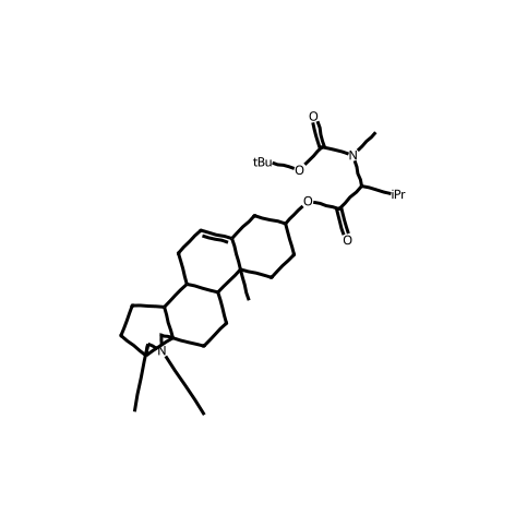 CC(C)C(C(=O)OC1CCC2(C)C(=CCC3C2CCC24CN(C)C(C)C2CCC34)C1)N(C)C(=O)OC(C)(C)C